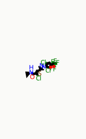 O=C(NC1CC1)c1cc(-c2cnn(-c3c(Cl)cc(C(F)(C(F)(F)F)C(F)(F)F)cc3Cl)c2)sc1Cl